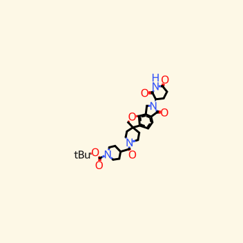 CC(C)(C)OC(=O)N1CCC(C(=O)N2CCC3(CC2)COc2c3ccc3c2CN([C@H]2CCC(=O)NC2=O)C3=O)CC1